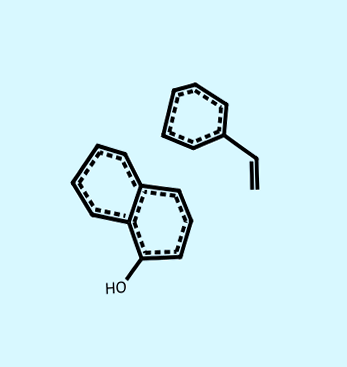 C=Cc1ccccc1.Oc1cccc2ccccc12